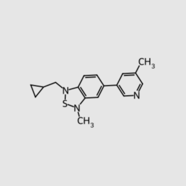 Cc1cncc(-c2ccc3c(c2)N(C)SN3CC2CC2)c1